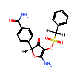 [2H]C([2H])(c1ccccc1)S(=O)(=O)OC1=C(N)O[C@@]([2H])(c2ccc(C(N)=O)cc2)C1=O